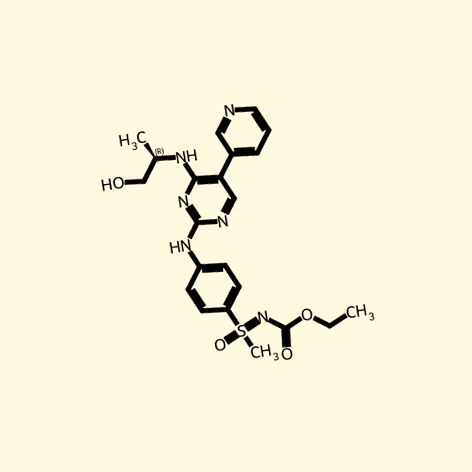 CCOC(=O)N=S(C)(=O)c1ccc(Nc2ncc(-c3cccnc3)c(N[C@H](C)CO)n2)cc1